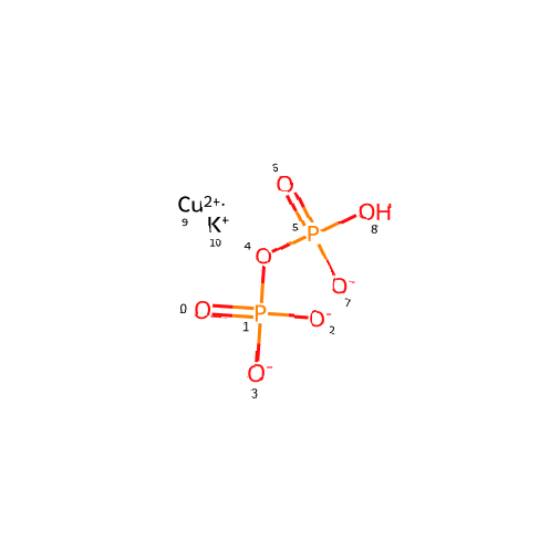 O=P([O-])([O-])OP(=O)([O-])O.[Cu+2].[K+]